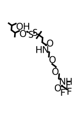 CC(CO)CC(C)COCSSC(C)(C)CCC(=O)NCCOCCOCCNC(=O)C(F)(F)F